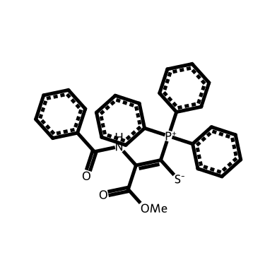 COC(=O)/C(NC(=O)c1ccccc1)=C(\[S-])[P+](c1ccccc1)(c1ccccc1)c1ccccc1